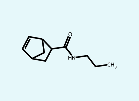 CCCNC(=O)C1CC2C=CC1C2